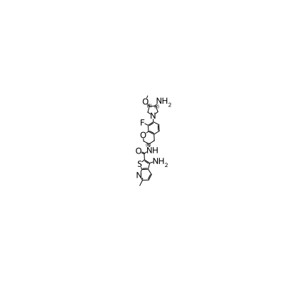 CO[C@@H]1CN(c2ccc3c(c2F)OC[C@H](NC(=O)c2sc4nc(C)ccc4c2N)C3)C[C@H]1N